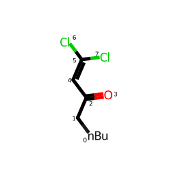 CCCCCC(=O)C=C(Cl)Cl